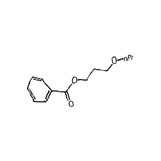 CCCOCCCOC(=O)c1ccccc1